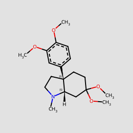 COc1ccc([C@]23CCN(C)[C@H]2CC(OC)(OC)CC3)cc1OC